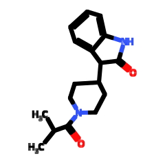 CC(C)C(=O)N1CCC(C2C(=O)Nc3ccccc32)CC1